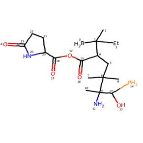 BC(C)(CC)C(CC(C)(C)C(C)(N)C(O)P)C(=O)OC(=O)C1CCC(=O)N1